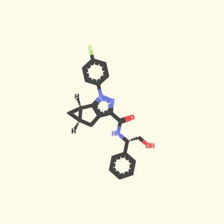 O=C(N[C@H](CO)c1ccccc1)c1nn(-c2ccc(F)cc2)c2c1C[C@H]1C[C@@H]21